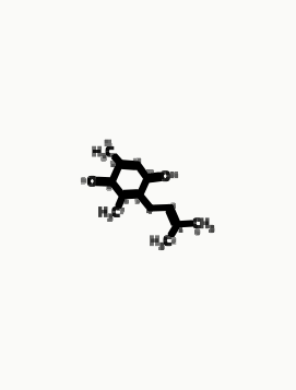 CC(C)=CCC1=C(C)C(=O)C(C)=CC1=O